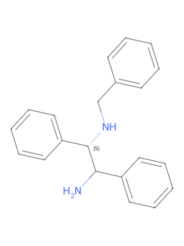 NC(c1ccccc1)[C@@H](NCc1ccccc1)c1ccccc1